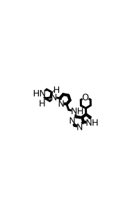 c1cc(CNc2ncnc3[nH]cc(C4CCOCC4)c23)nc(N2C[C@@H]3C[C@H]2CN3)c1